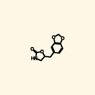 O=C1NCC(Cc2ccc3c(c2)OCO3)O1